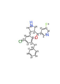 Fc1cncc([C@@H](Oc2ccc(Cl)cc2Cc2ccccc2)C2CCNC2)c1